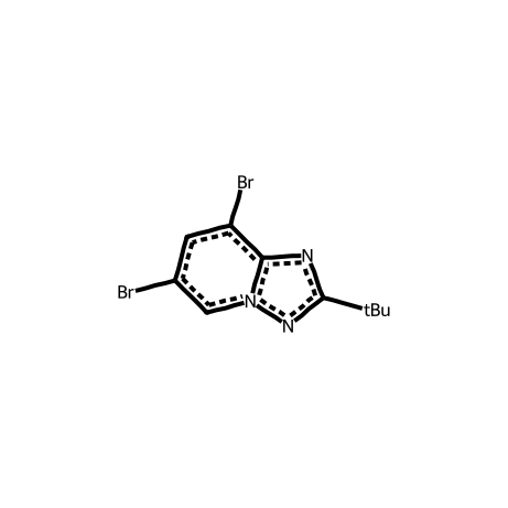 CC(C)(C)c1nc2c(Br)cc(Br)cn2n1